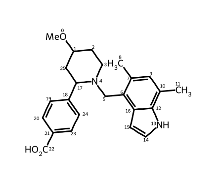 COC1CCN(Cc2c(C)cc(C)c3[nH]ccc23)C(c2ccc(C(=O)O)cc2)C1